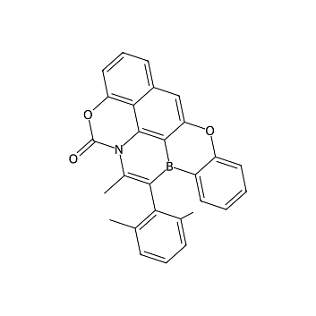 CC1=C(c2c(C)cccc2C)B2c3ccccc3Oc3cc4cccc5c4c(c32)N1C(=O)O5